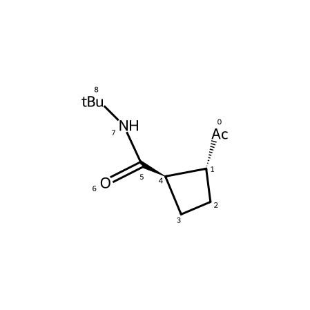 CC(=O)[C@@H]1CC[C@H]1C(=O)NC(C)(C)C